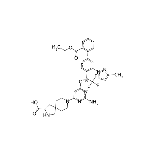 CCOC(=O)c1ccccc1-c1ccc([C@@H](Oc2cc(N3CCC4(CC3)CNC(C(=O)O)C4)nc(N)n2)C(F)(F)F)c(-n2ccc(C)n2)c1